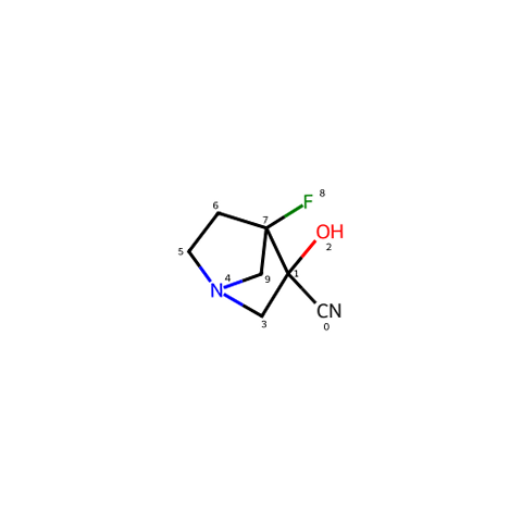 N#CC1(O)CN2CCC1(F)C2